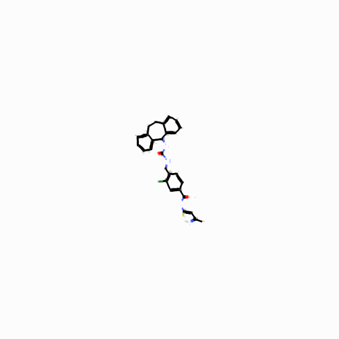 Cc1cc(NC(=O)c2ccc(CNC(=O)NC3c4ccccc4CCc4ccccc43)c(Cl)c2)sn1